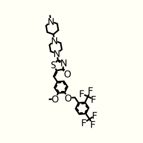 COc1cc(/C=C2/SC(N3CCN(C4CCN(C)CC4)CC3)=NC2=O)ccc1OCc1ccc(C(F)(F)F)cc1C(F)(F)F